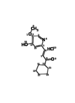 COc1cnc(C=CC(=O)C2CCCCC2)cc1O.Cl